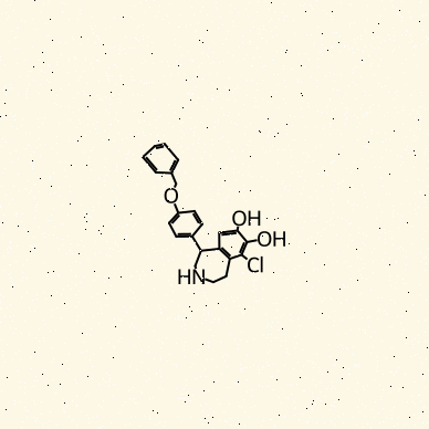 Oc1cc2c(c(Cl)c1O)CCNCC2c1ccc(OCc2ccccc2)cc1